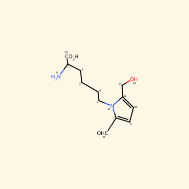 NC(CCCCn1c(C=O)ccc1CO)C(=O)O